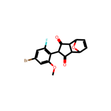 COc1cc(Br)cc(F)c1C1C(=O)C2C3C=CC(O3)C2C1=O